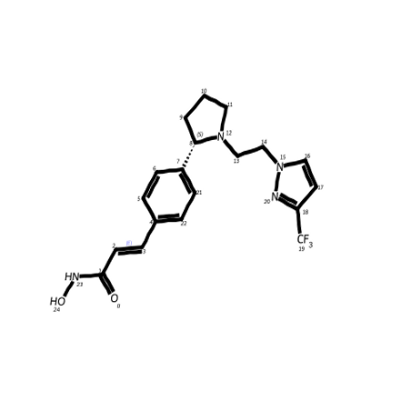 O=C(/C=C/c1ccc([C@@H]2CCCN2CCn2ccc(C(F)(F)F)n2)cc1)NO